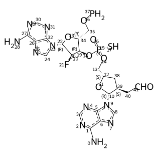 Nc1ncnc2c1ncn2[C@@H]1O[C@H](CO[P@@](=O)(S)O[C@H]2[C@@H](F)[C@H](n3cnc4c(N)ncnc43)O[C@@H]2COP)C[C@H]1CC=O